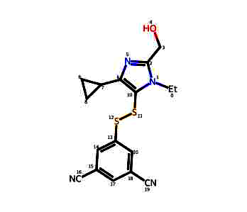 CCn1c(CO)nc(C2CC2)c1SSc1cc(C#N)cc(C#N)c1